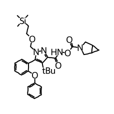 CC(C)(C)c1c(C(=O)NOC(=O)N2CC3CC3C2)nn(COCC[Si](C)(C)C)c1-c1ccccc1Oc1ccccc1